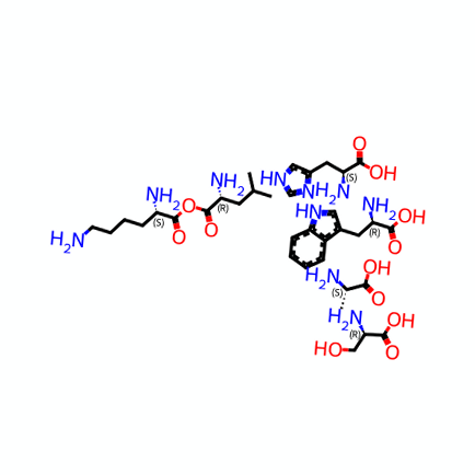 CC(C)C[C@@H](N)C(=O)OC(=O)[C@@H](N)CCCCN.C[C@H](N)C(=O)O.N[C@@H](Cc1c[nH]cn1)C(=O)O.N[C@H](CO)C(=O)O.N[C@H](Cc1c[nH]c2ccccc12)C(=O)O